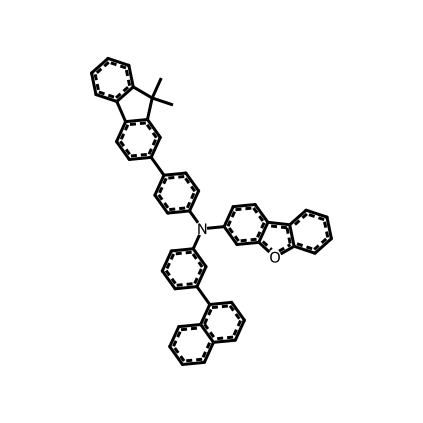 CC1(C)c2ccccc2-c2ccc(-c3ccc(N(c4cccc(-c5cccc6ccccc56)c4)c4ccc5c(c4)oc4ccccc45)cc3)cc21